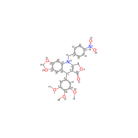 COc1cc(C2C3=C(COC3=O)N(Cc3ccc([N+](=O)[O-])cc3)c3cc4c(cc32)OCO4)cc(OC)c1OC